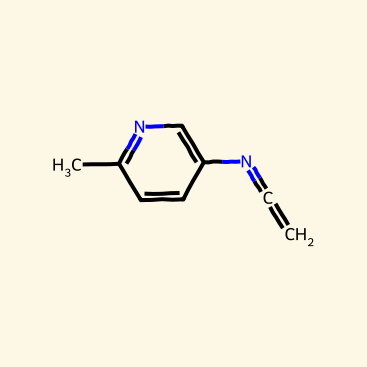 C=C=Nc1ccc(C)nc1